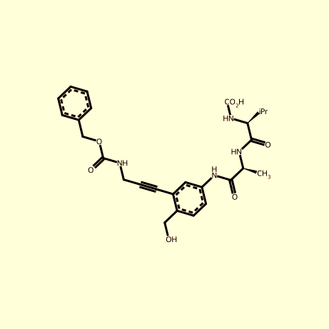 CC(C)[C@H](NC(=O)O)C(=O)N[C@@H](C)C(=O)Nc1ccc(CO)c(C#CCNC(=O)OCc2ccccc2)c1